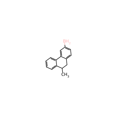 Bc1ccc2c(c1)-c1ccccc1C(C)C2